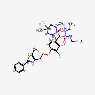 CCNP(=O)(NCC)C(c1ccc(OCCc2nc(-c3ccccc3)sc2C)c(F)c1)P1(=O)N(C)CC(C)(C)CN1C